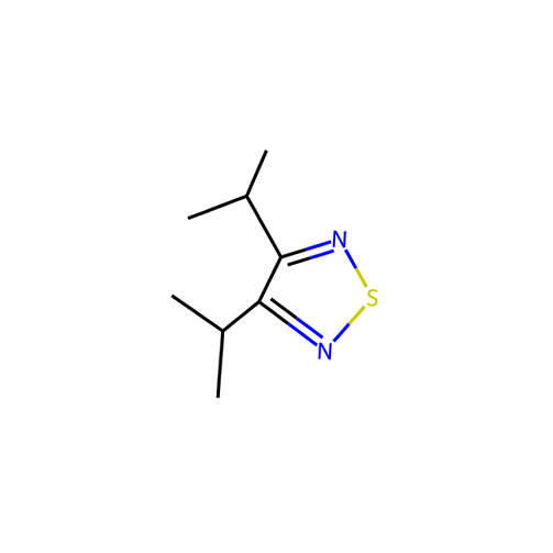 CC(C)c1nsnc1C(C)C